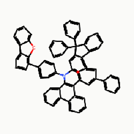 c1ccc(-c2cccc(-c3c(N(c4ccc(-c5cccc6c5oc5ccccc56)cc4)c4ccc5c(c4)C(c4ccccc4)(c4ccccc4)c4ccccc4-5)c4ccccc4c4ccccc34)c2)cc1